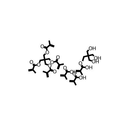 C=C(C)C(=O)O.C=C(C)C(=O)O.C=C(C)C(=O)O.C=C(C)C(=O)OCC(COC(=O)C(=C)C)(COC(=O)C(=C)C)COC(=O)C(=C)C.CCC(CO)(CO)CO